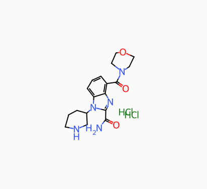 Cl.Cl.NC(=O)c1nc2c(C(=O)N3CCOCC3)cccc2n1C1CCCNC1